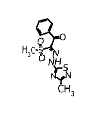 Cc1nsc(N/N=C(/C(=O)c2ccccc2)S(C)(=O)=O)n1